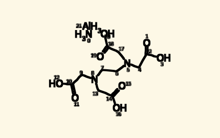 N.O=C(O)CN(CCN(CC(=O)O)CC(=O)O)CC(=O)O.[AlH3]